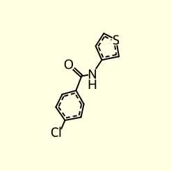 O=C(Nc1ccsc1)c1ccc(Cl)cc1